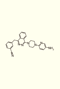 N#Cc1cccc(Cc2nnc(N3CCN(c4ccc(N)cn4)CC3)c3ccccc23)c1